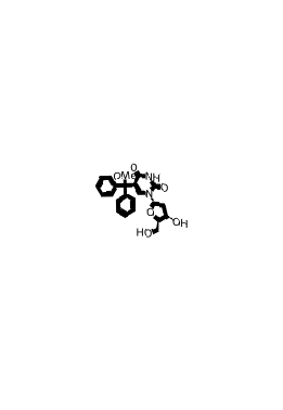 COC(c1ccccc1)(c1ccccc1)c1cn([C@H]2C[C@H](O)[C@@H](CO)O2)c(=O)[nH]c1=O